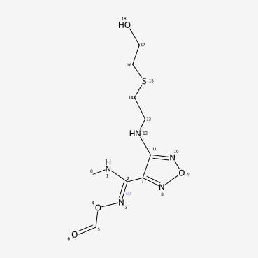 CN/C(=N\OC=O)c1nonc1NCCSCCO